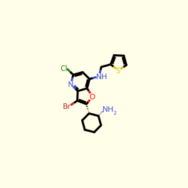 N[C@@H]1CCCC[C@@H]1c1oc2c(NCc3cccs3)cc(Cl)nc2c1Br